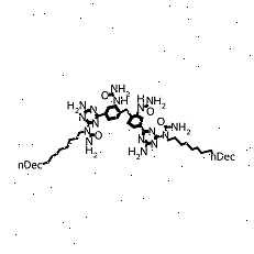 CCCCCCCCCCCCCCCCCCN(C(N)=O)c1nc(N)nc(-c2ccc(Cc3ccc(-c4nc(N)nc(N(CCCCCCCCCCCCCCCCCC)C(N)=O)n4)cc3NC(N)=O)c(NC(N)=O)c2)n1